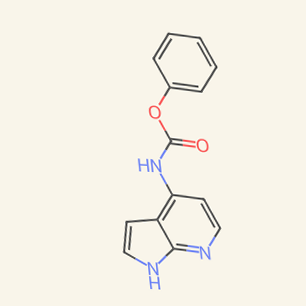 O=C(Nc1ccnc2[nH]ccc12)Oc1ccccc1